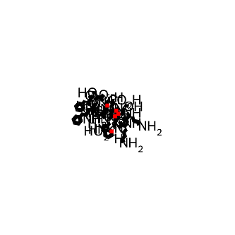 CC(C)[C@H](NC(=O)[C@H](CO)NC(=O)[C@H](Cc1ccccc1)NC(=O)[C@H](C)NC(=O)[C@@H](N)Cc1ccccc1)C(=O)NCC(=O)N[C@@H](Cc1c[nH]c2ccccc12)C(=O)N[C@@H](CCC(=O)O)C(=O)N[C@@H](CO)C(=O)N[C@@H](CCCCN)C(=O)N[C@@H](CCCCN)C(=O)N[C@@H](CCCCN)C(=O)O